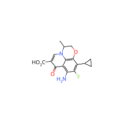 CC1COc2c(C3CC3)c(F)c(N)c3c(=O)c(C(=O)O)cn1c23